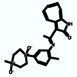 C/C(=N\c1cc([N+]2([O-])CC[N+](C)([O-])CC2)ccc1C)c1c2cccccc-2[nH]c1=O